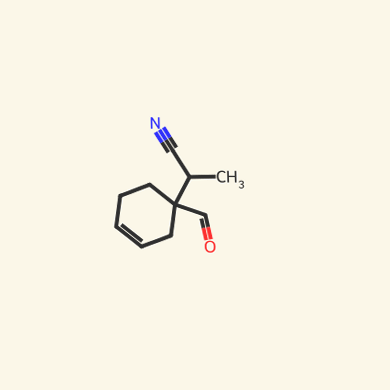 CC(C#N)C1(C=O)CC=CCC1